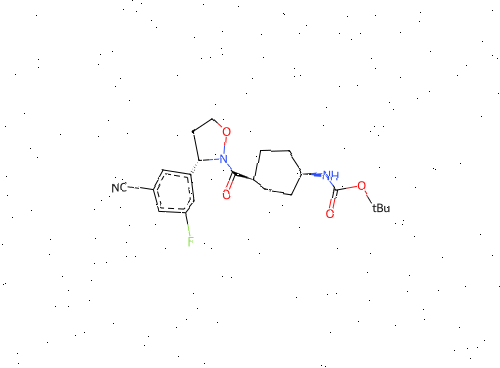 CC(C)(C)OC(=O)N[C@H]1CC[C@@H](C(=O)N2OCC[C@H]2c2cc(F)cc(C#N)c2)CC1